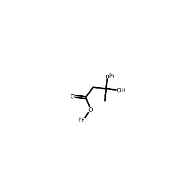 CCCC(C)(O)CC(=O)OCC